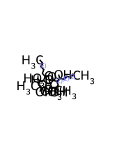 C/C=C/C=C/C(O)=C1\CC(C)(O)C2(O)OC3(C)C(O)=C(C)C(O)=C(C(=O)CC/C=C/C)C3C2(C)C1=O